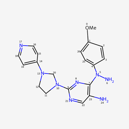 COc1ccc(N(N)c2nc(N3CCN(c4ccncc4)C3)ncc2N)cc1